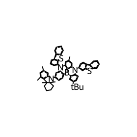 Cc1cc2c3c(c1)N(c1cccc4c1sc1ccccc14)c1cc(N4c5cc(C)cc(C)c5C5(C)CCCCC45C)ccc1B3c1cc(C(C)(C)C)ccc1N2c1ccc2c(c1)sc1ccccc12